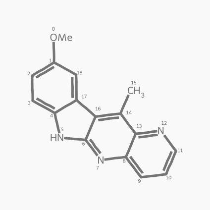 COc1ccc2[nH]c3nc4cccnc4c(C)c3c2c1